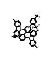 Cc1ccc2c(c1)c1cc(C)ccc1n2-c1ccc(C#N)cc1-c1ccc(-c2ccc(C(F)(F)F)cc2C(F)(F)F)cc1-n1c2ccc(C)cc2c2cc(C)ccc21